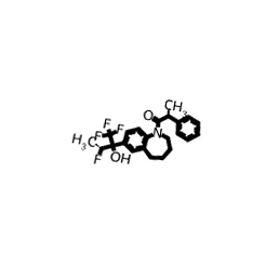 C[C@H](C(=O)N1CCCCc2cc(C(O)([C@@H](C)F)C(F)(F)F)ccc21)c1ccccc1